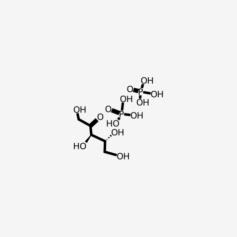 O=C(CO)[C@H](O)[C@H](O)CO.O=P(O)(O)O.O=P(O)(O)O